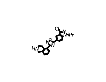 CC(C)n1nc(Cl)c2cc(-c3nc(-c4cccc5c4CCNC5)no3)ccc21